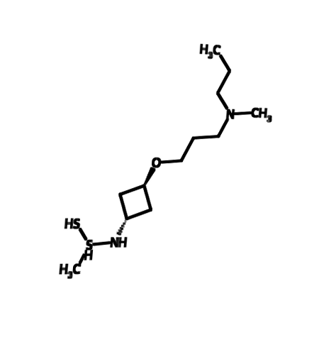 CCCN(C)CCCO[C@H]1C[C@H](N[SH](C)S)C1